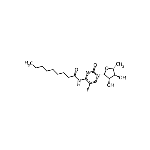 CCCCCCCCC(=O)Nc1nc(=O)n([C@@H]2O[C@H](C)[C@@H](O)[C@H]2O)cc1F